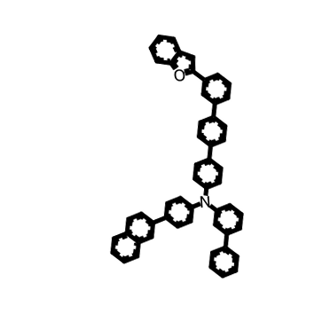 c1ccc(-c2cccc(N(c3ccc(-c4ccc(-c5cccc(-c6cc7ccccc7o6)c5)cc4)cc3)c3ccc(-c4ccc5ccccc5c4)cc3)c2)cc1